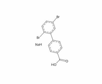 O=C(O)c1ccc(-c2cc(Br)ccc2Br)cc1.[NaH]